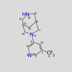 FC(F)(F)c1cncc(N2CC3CNCC(C3)C2)c1